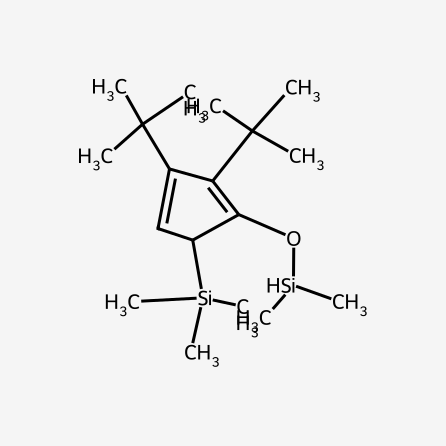 C[SiH](C)OC1=C(C(C)(C)C)C(C(C)(C)C)=CC1[Si](C)(C)C